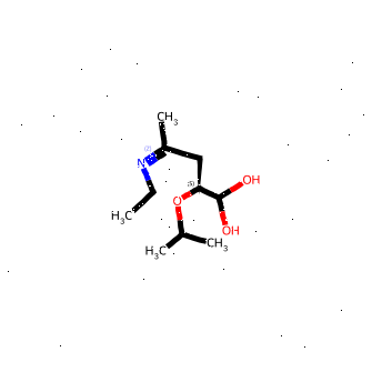 CC/N=C(/C)C[C@H](OC(C)C)C(O)O